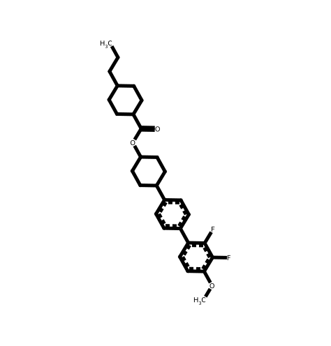 CCCC1CCC(C(=O)OC2CCC(c3ccc(-c4ccc(OC)c(F)c4F)cc3)CC2)CC1